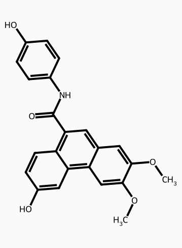 COc1cc2cc(C(=O)Nc3ccc(O)cc3)c3ccc(O)cc3c2cc1OC